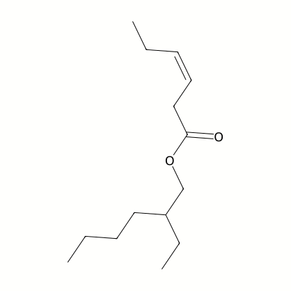 CC/C=C\CC(=O)OCC(CC)CCCC